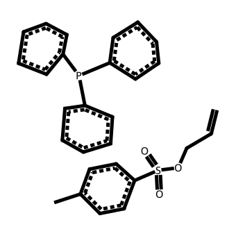 C=CCOS(=O)(=O)c1ccc(C)cc1.c1ccc(P(c2ccccc2)c2ccccc2)cc1